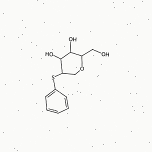 OCC1OCC(Sc2ccccc2)C(O)C1O